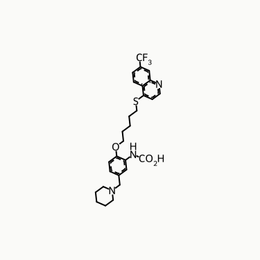 O=C(O)Nc1cc(CN2CCCCC2)ccc1OCCCCCSc1ccnc2cc(C(F)(F)F)ccc12